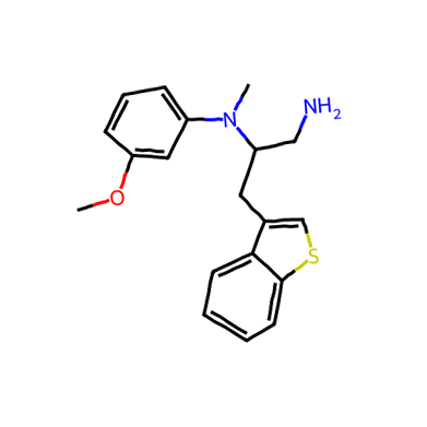 COc1cccc(N(C)C(CN)Cc2csc3ccccc23)c1